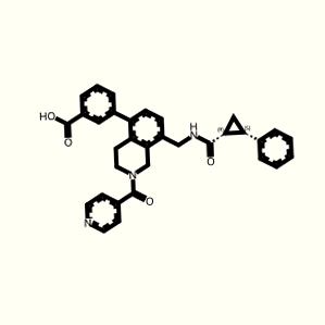 O=C(O)c1cccc(-c2ccc(CNC(=O)[C@@H]3C[C@@H]3c3ccccc3)c3c2CCN(C(=O)c2ccncc2)C3)c1